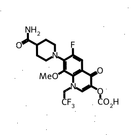 COc1c(N2CCC(C(N)=O)CC2)c(F)cc2c(=O)c(OC(=O)O)cn(CC(F)(F)F)c12